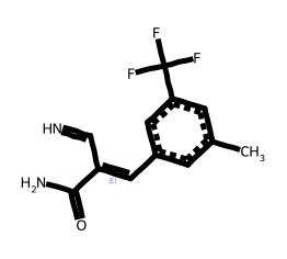 Cc1cc(/C=C(\C=N)C(N)=O)cc(C(F)(F)F)c1